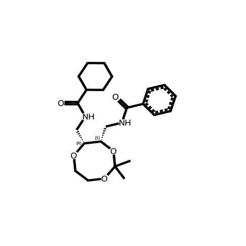 CC1(C)OCCO[C@H](CNC(=O)C2CCCCC2)[C@H](CNC(=O)c2ccccc2)O1